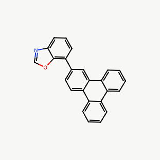 c1cc(-c2ccc3c4ccccc4c4ccccc4c3c2)c2ocnc2c1